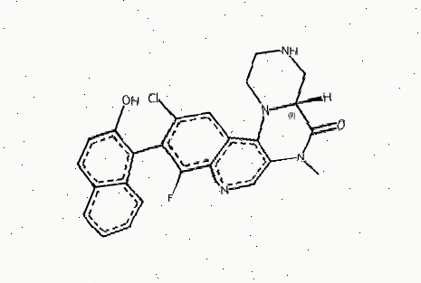 CN1C(=O)[C@H]2CNCCN2c2c1cnc1c(F)c(-c3c(O)ccc4ccccc34)c(Cl)cc21